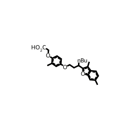 CCCCC(CCOc1ccc(OCC(=O)O)c(C)c1)c1oc2cc(C)ccc2c1C